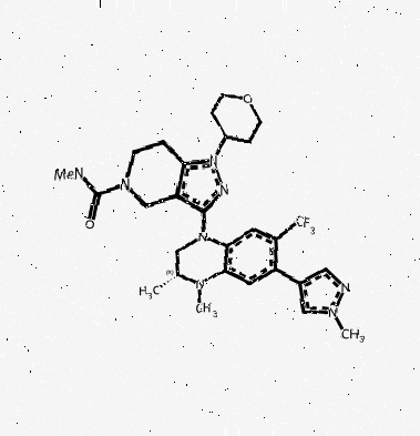 CNC(=O)N1CCc2c(c(N3C[C@@H](C)N(C)c4cc(-c5cnn(C)c5)c(C(F)(F)F)cc43)nn2C2CCOCC2)C1